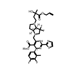 C=CCOC(=O)C(C)(O)CCN1CC[C@H]2[C@@H]1C(F)(F)CN2CC1=C(C(=O)OC)[C@H](c2ccc(F)c(F)c2C)N=C(c2nccs2)N1